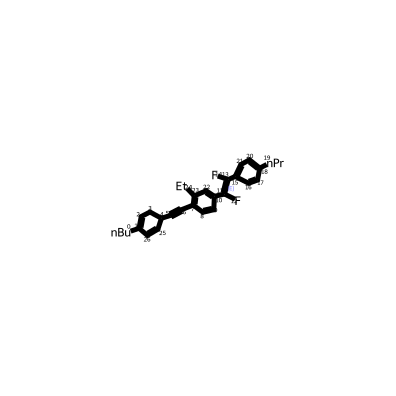 CCCCC1=CCC(C#Cc2ccc(/C(F)=C(\F)c3ccc(CCC)cc3)cc2CC)C=C1